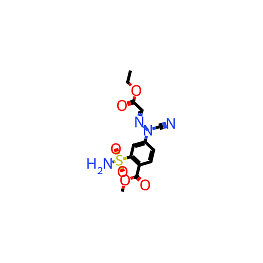 CCOC(=O)C=NN(C#N)c1ccc(C(=O)OC)c(S(N)(=O)=O)c1